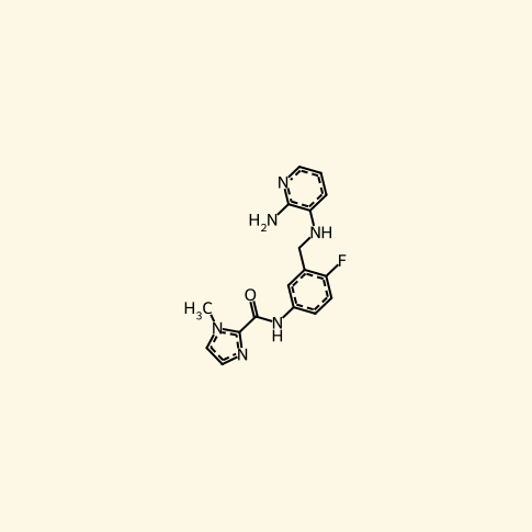 Cn1ccnc1C(=O)Nc1ccc(F)c(CNc2cccnc2N)c1